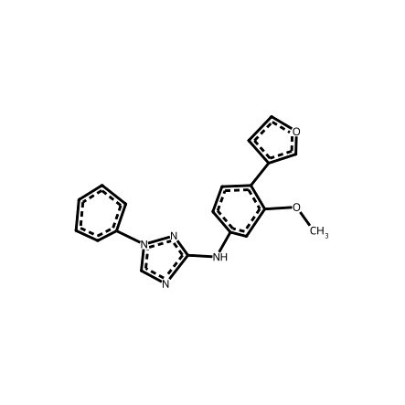 COc1cc(Nc2ncn(-c3ccccc3)n2)ccc1-c1ccoc1